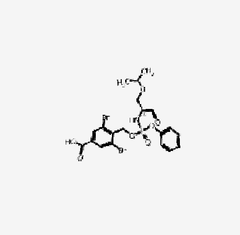 CC(C)OC[C@@H](C=O)NP(=O)(OCc1c(Br)cc(C(=O)O)cc1Br)Oc1ccccc1